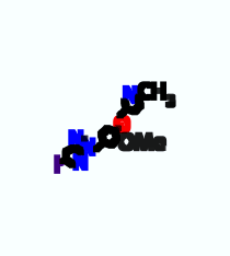 COc1cc(Cn2cnc3cc(I)cnc32)ccc1OCc1ccc(C)nc1